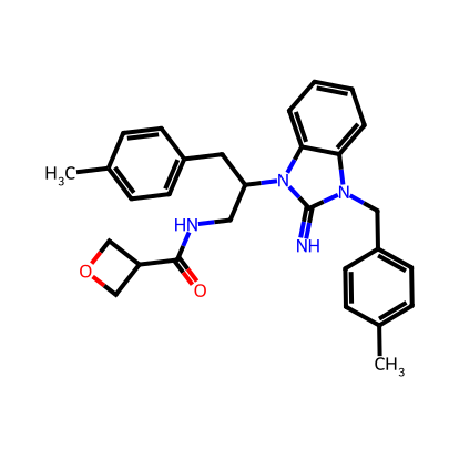 Cc1ccc(CC(CNC(=O)C2COC2)n2c(=N)n(Cc3ccc(C)cc3)c3ccccc32)cc1